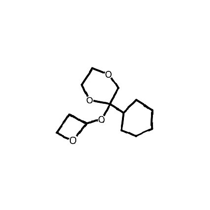 C1CCC(C2(OC3CCO3)COCCO2)CC1